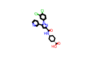 O=C(N[C@H]1CC[C@@H](C(=O)O)CC1)c1cc(-c2cccnc2)n(-c2ccc(Cl)c(Cl)c2)n1